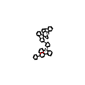 c1ccc(-c2ccc(-c3ccccc3N(c3ccccc3)c3cccc(-c4ccc5c(c4)C4(c6ccccc6-5)c5ccccc5-n5c6ccccc6c6cccc4c65)c3)cc2)cc1